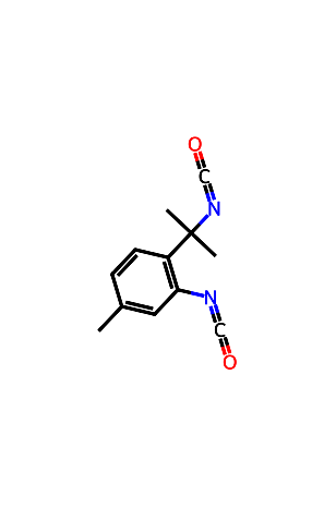 Cc1ccc(C(C)(C)N=C=O)c(N=C=O)c1